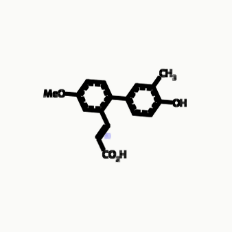 COc1ccc(-c2ccc(O)c(C)c2)c(/C=C/C(=O)O)c1